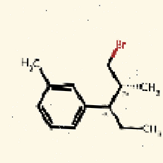 CC[C@@H](c1cccc(C)c1)[C@@H](C)CBr